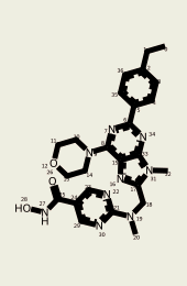 CCc1ccc(-c2nc(N3CCOCC3)c3nc(CN(C)c4ncc(C(=O)NO)cn4)n(C)c3n2)cc1